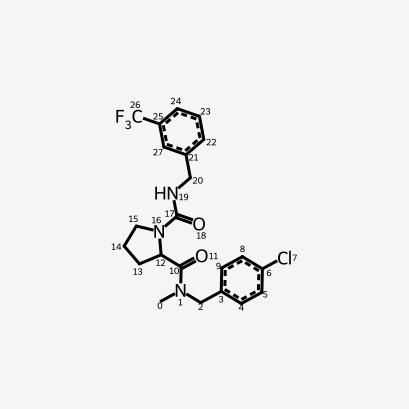 CN(Cc1ccc(Cl)cc1)C(=O)C1CCCN1C(=O)NCc1cccc(C(F)(F)F)c1